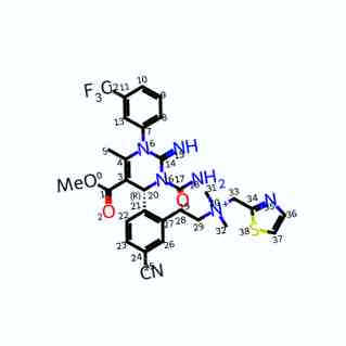 COC(=O)C1=C(C)N(c2cccc(C(F)(F)F)c2)C(=N)N(C(N)=O)[C@@H]1c1ccc(C#N)cc1CC[N+](C)(C)Cc1nccs1